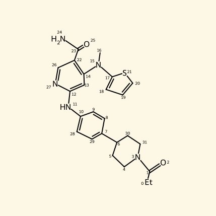 CCC(=O)N1CCC(c2ccc(Nc3cc(N(C)c4cccs4)c(C(N)=O)cn3)cc2)CC1